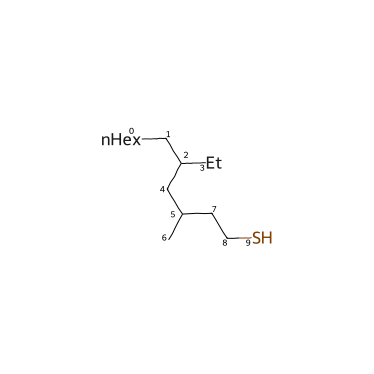 CCCCCCCC(CC)CC(C)CCS